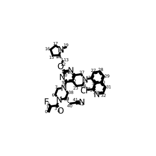 C=C(F)C(=O)N1CCN(c2nc(OC[C@@H]3CCCN3C)nc3c2CCN(c2cccc4ccnc(Cl)c24)C3)C[C@@H]1CC#N